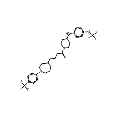 O=C(CCCN1CCCN(c2ccc(C(F)(F)F)cc2)CC1)N1CCC(Nc2ccc(SC(F)(F)F)cc2)CC1